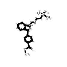 COC(=O)c1ccc(-c2nn(COCC[Si](C)(C)C)c3ccccc23)cc1